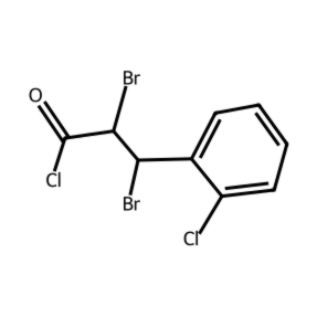 O=C(Cl)C(Br)C(Br)c1ccccc1Cl